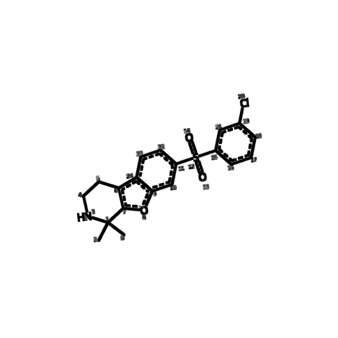 CC1(C)NCCc2c1oc1cc(S(=O)(=O)c3cccc(Cl)c3)ccc21